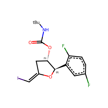 CC(C)(C)NC(=O)O[C@H]1CC(=CI)O[C@@H]1c1cc(F)ccc1F